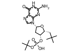 CC(C)(C)C[C@H]1O[C@@H](n2cnc3c(=O)[nH]c(N)nc32)C[C@H]1OP(=O)(O)OC(C)(C)C